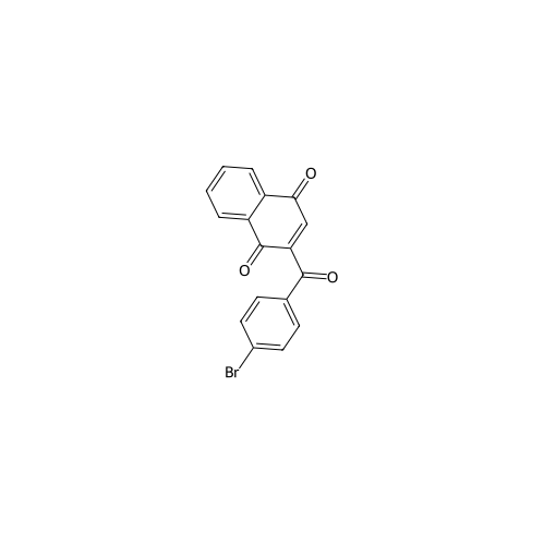 O=C(C1=CC(=O)c2ccccc2C1=O)c1ccc(Br)cc1